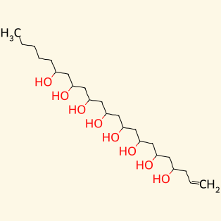 C=CCC(O)CC(O)CC(O)CC(O)CC(O)CC(O)CC(O)CC(O)CCCCC